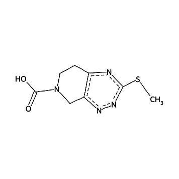 CSc1nnc2c(n1)CCN(C(=O)O)C2